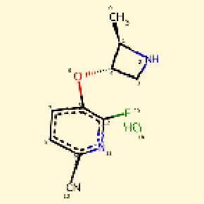 C[C@H]1NC[C@@H]1Oc1ccc(C#N)nc1F.Cl